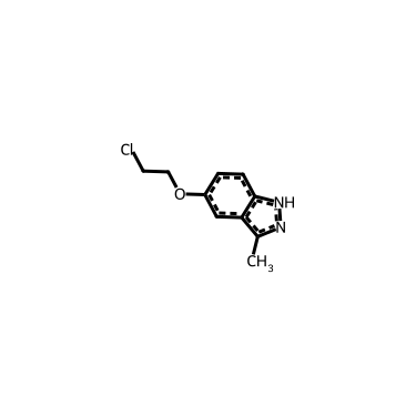 Cc1n[nH]c2ccc(OCCCl)cc12